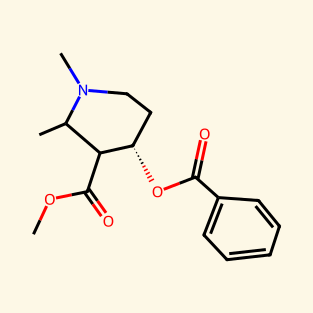 COC(=O)C1C(C)N(C)CC[C@@H]1OC(=O)c1ccccc1